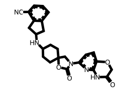 N#Cc1cccc2c1CC(NC1CCC3(CC1)CN(c1ccc4c(n1)NC(=O)CO4)C(=O)O3)C2